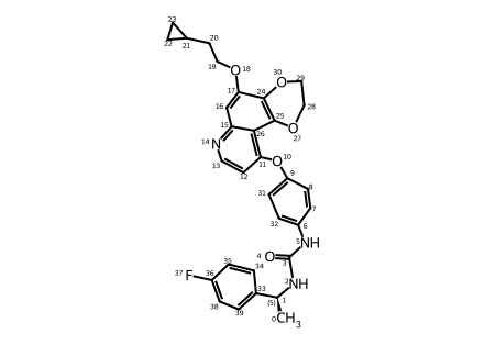 C[C@H](NC(=O)Nc1ccc(Oc2ccnc3cc(OCCC4CC4)c4c(c23)OCCO4)cc1)c1ccc(F)cc1